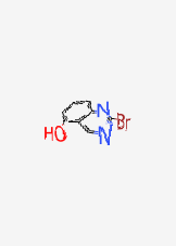 Oc1cccc2nc(Br)ncc12